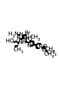 CCC[C@@H](CCO)Nc1nc(N)nc2c(Br)nn(Cc3ncc(C4=CCN(C(=O)OC(C)(C)C)CC4)cc3OC)c12